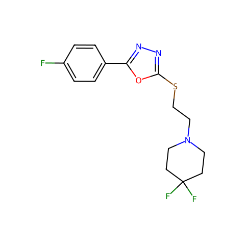 Fc1ccc(-c2nnc(SCCN3CCC(F)(F)CC3)o2)cc1